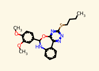 CCCCSc1nnc2c(n1)OC(c1ccc(OC)c(OC)c1)Nc1ccccc1-2